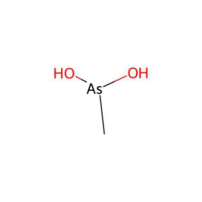 C[As](O)O